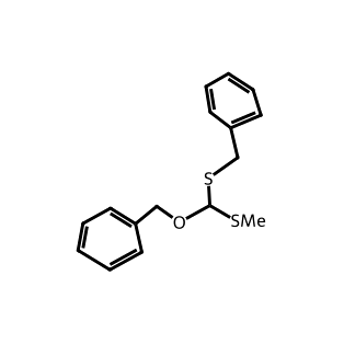 CSC(OCc1ccccc1)SCc1ccccc1